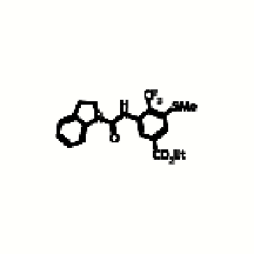 CCOC(=O)c1cc(NC(=O)N2CCc3ccccc32)c(C(F)(F)F)c(SC)c1